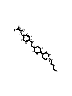 CCCCC[SiH]1CCC(C2CCC(CCc3ccc(OC(F)=C(F)F)cc3)CC2)CC1